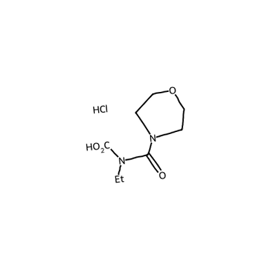 CCN(C(=O)O)C(=O)N1CCOCC1.Cl